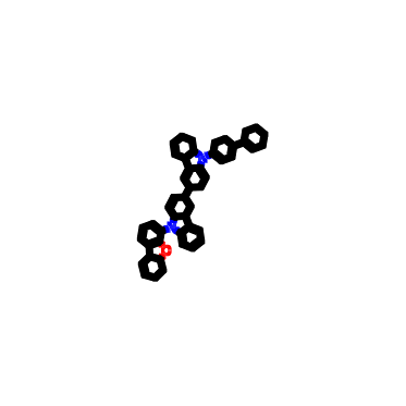 C1=CC2c3cccc(N4c5ccccc5C5CC(C6C=C7C(=CC6)N(C6=CC=C(C8=CCCCC8)CC6)C6CCC=CC76)C=CC54)c3OC2CC1